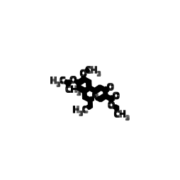 CCOC(=O)c1cn2c(cc1=O)-c1cc(OC)c(OC(C)C)cc1CC2CC